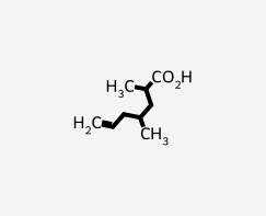 C=CCC(C)CC(C)C(=O)O